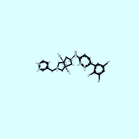 Fc1cc(F)c(F)c(-c2ccc(N[C@H]3C[C@@H]4CN(Cc5ccnnc5)C[C@@H]4C3)nn2)c1